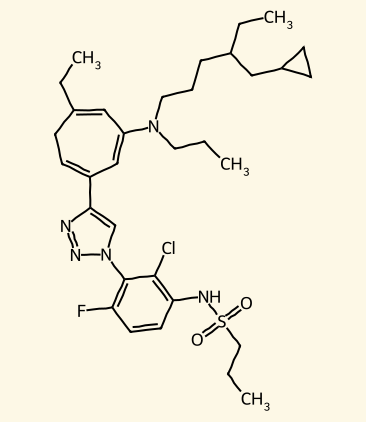 CCCN(CCCC(CC)CC1CC1)C1=CC(c2cn(-c3c(F)ccc(NS(=O)(=O)CCC)c3Cl)nn2)=CCC(CC)=C1